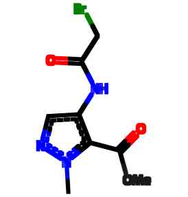 COC(=O)c1c(NC(=O)CBr)cnn1C